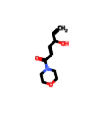 C=CC(O)C=CC(=O)N1CCOCC1